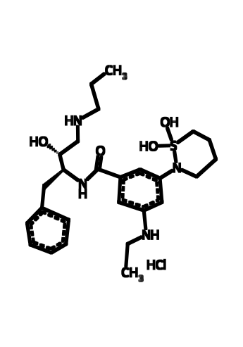 CCCNC[C@@H](O)[C@H](Cc1ccccc1)NC(=O)c1cc(NCC)cc(N2CCCCS2(O)O)c1.Cl